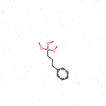 CO[Si](CCCc1ccccc1)(OC)OC